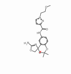 COCCn1ccc(C(=O)Nc2ccc3c(c2)C2(COC(N)=N2)C2(COC2)C(C)(C)O3)n1